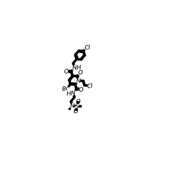 CN(CCNC(=O)c1c(Br)cc(C(=O)NCc2ccc(Cl)cc2)c(=O)n1CCCl)S(C)(=O)=O